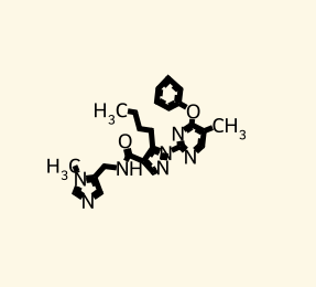 CCCCc1c(C(=O)NCc2cncn2C)cnn1-c1ncc(C)c(Oc2ccccc2)n1